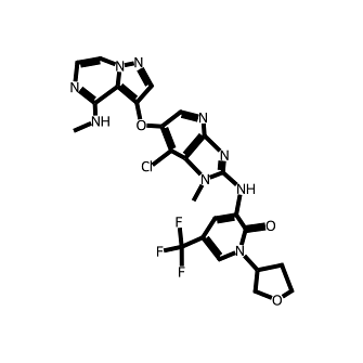 CNc1nccn2ncc(Oc3cnc4nc(Nc5cc(C(F)(F)F)cn(C6CCOC6)c5=O)n(C)c4c3Cl)c12